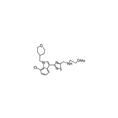 COCCNCc1nc(-c2cn(CC3CCOCC3)c3c(Cl)cccc23)ns1